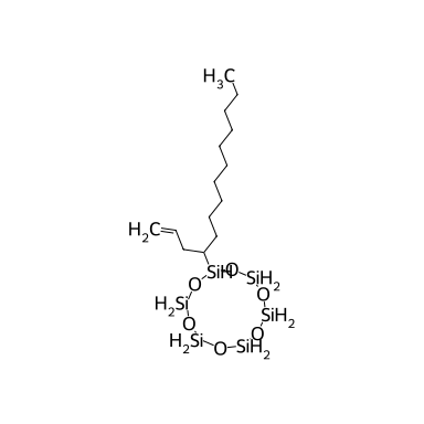 C=CCC(CCCCCCCCCC)[SiH]1O[SiH2]O[SiH2]O[SiH2]O[SiH2]O[SiH2]O1